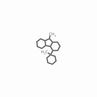 CC1C2CCCCC2C2C1CCCC2C1(C)CCCCC1